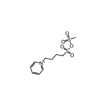 CS(=O)(=O)OS(=O)(=O)CCCC[n+]1ccccc1